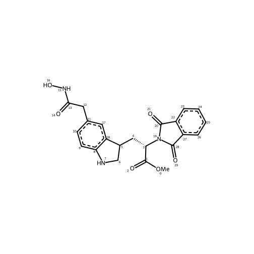 COC(=O)[C@H](CC1CNc2ccc(CC(=O)NO)cc21)N1C(=O)c2ccccc2C1=O